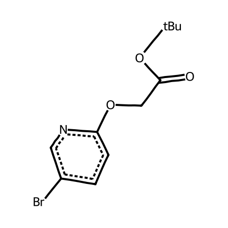 CC(C)(C)OC(=O)COc1ccc(Br)cn1